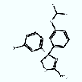 NC1=N[C@](c2cccc(Br)c2)(c2cccc(OC(F)F)c2)CO1